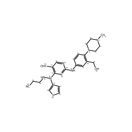 CN1CCN(c2ccc(Nc3ncc(C=O)c(N(NCCC#N)c4ccsc4)n3)cc2CO)CC1